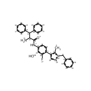 Cc1c(-c2ccc(NC(=O)C(N)C(c3ccccc3)c3ccccc3)cc2F)cnn1Cc1ccccc1.Cl